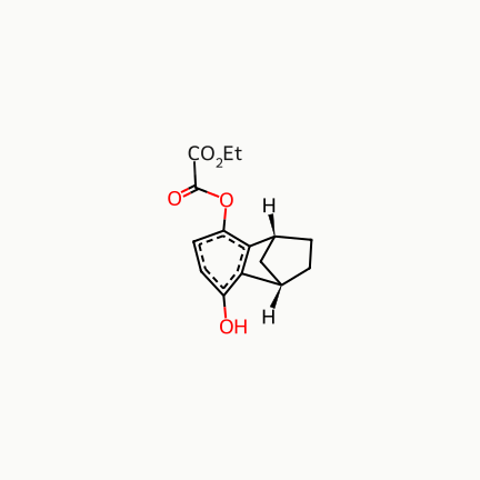 CCOC(=O)C(=O)Oc1ccc(O)c2c1[C@@H]1CC[C@H]2C1